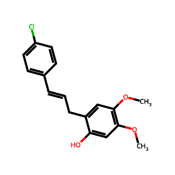 COc1cc(O)c(C/C=C/c2ccc(Cl)cc2)cc1OC